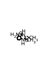 CC(C)C[C@H]1NC(=O)c2c(N)cccc2NC1=O